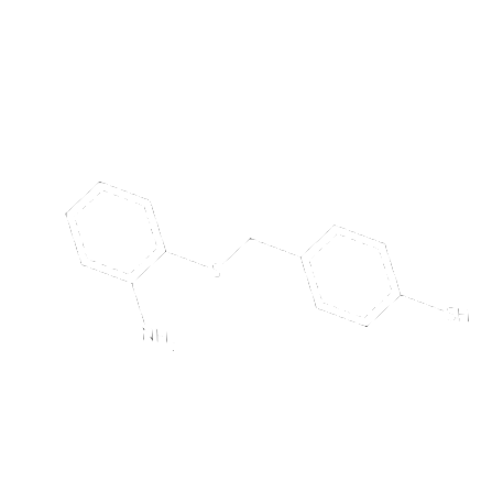 Nc1ccccc1SCc1ccc(S)cc1